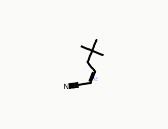 CC(C)(C)C/C=C\C#N